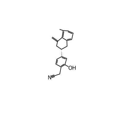 C=C1C[C@@H](c2ccc(CC#N)c(O)c2)Cc2cccc(C)c21